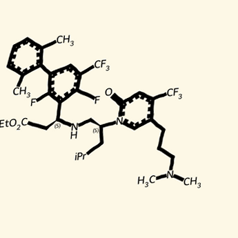 CCOC(=O)C[C@H](NC[C@H](CC(C)C)n1cc(CCCN(C)C)c(C(F)(F)F)cc1=O)c1c(F)c(-c2c(C)cccc2C)cc(C(F)(F)F)c1F